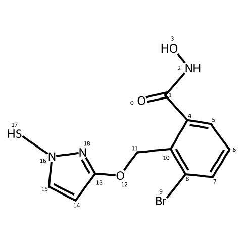 O=C(NO)c1cccc(Br)c1COc1ccn(S)n1